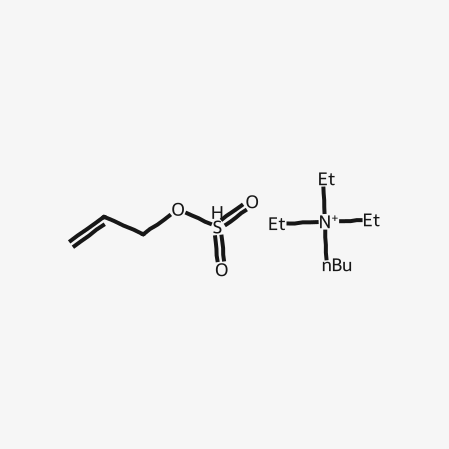 C=CCO[SH](=O)=O.CCCC[N+](CC)(CC)CC